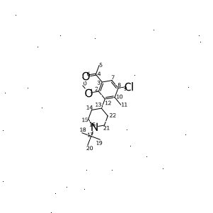 COc1c(C(C)=O)cc(Cl)c(C)c1C1CCN(C(C)(C)C)CC1